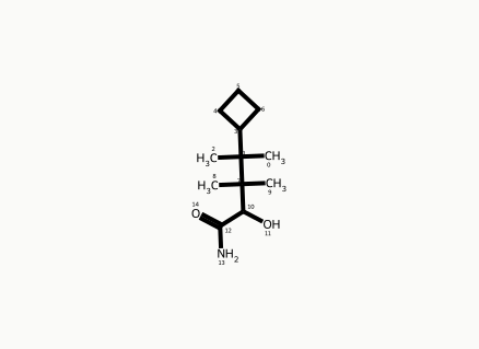 CC(C)(C1CCC1)C(C)(C)C(O)C(N)=O